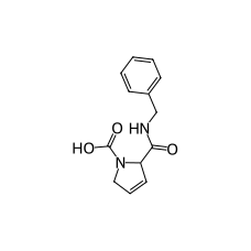 O=C(NCc1ccccc1)C1C=CCN1C(=O)O